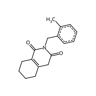 Cc1ccccc1CN1C(=O)CC2=C(CCCC2)C1=O